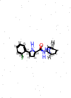 O=C(N[C@@H]1C[C@H]2CC[C@@H]1N2)c1ccc(-c2ccccc2F)[nH]1